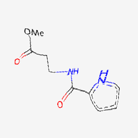 COC(=O)CCNC(=O)c1ccc[nH]1